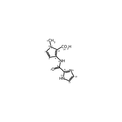 Cn1ccc(NC(=O)c2ncc[nH]2)c1C(=O)O